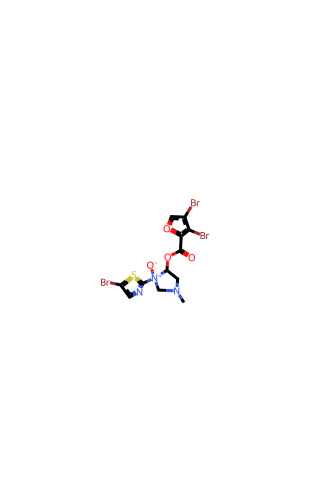 CN1CC(OC(=O)c2occ(Br)c2Br)[N+]([O-])(c2ncc(Br)s2)C1